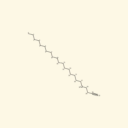 CCCCCCCCCCCCCCCCCCOCCC#N